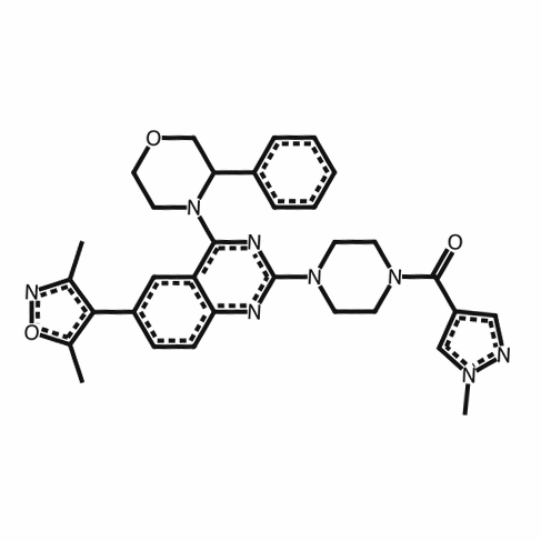 Cc1noc(C)c1-c1ccc2nc(N3CCN(C(=O)c4cnn(C)c4)CC3)nc(N3CCOCC3c3ccccc3)c2c1